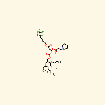 CCCCC(CC)CC(COC(=O)CC(CC(=O)OCCCCC(F)(F)C(F)(F)F)OC(=O)CCN1CCCCC1)C(CC)CCCC